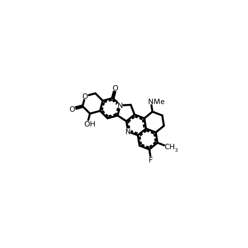 CNC1CCc2c(C)c(F)cc3nc4c(c1c23)Cn1c-4cc2c(c1=O)COC(=O)C2O